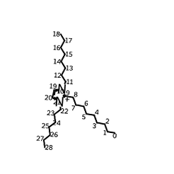 CCCCCCCCCc1n(CCCCCCCC)cc[n+]1CCCCCCC